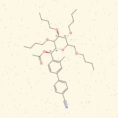 CCCCOCC1O[C@H]([C@H](OC(C)=O)c2ccc(-c3ccc(C#N)cc3)cc2C)C(OCCCC)[C@@H](OCCCC)[C@@H]1OCCCC